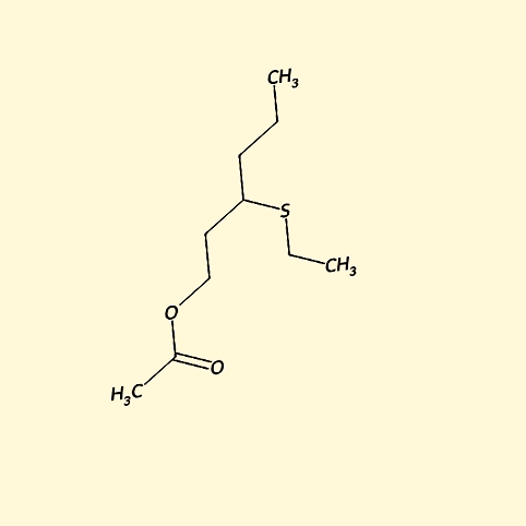 CCCC(CCOC(C)=O)SCC